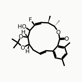 Cc1cc(C)c2c(c1)/C=C/C[C@@H]1OC(C)(C)O[C@@H]1C(O)/C(F)=C\[C@@H](C)[C@H](C)OC2=O